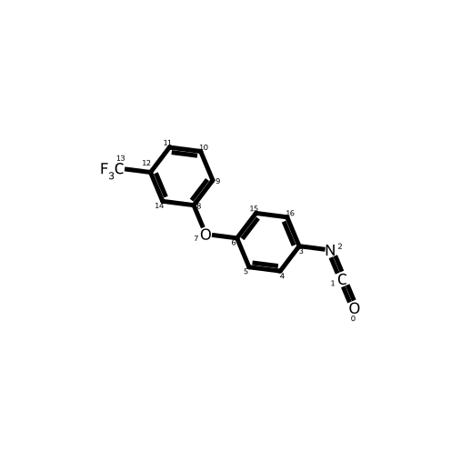 O=C=Nc1ccc(Oc2cccc(C(F)(F)F)c2)cc1